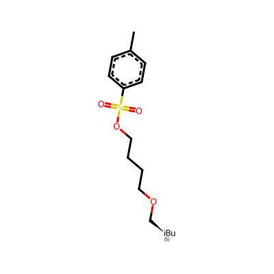 CC[C@H](C)COCCCCOS(=O)(=O)c1ccc(C)cc1